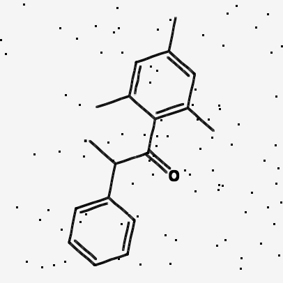 [CH2]C(C(=O)c1c(C)cc(C)cc1C)c1ccccc1